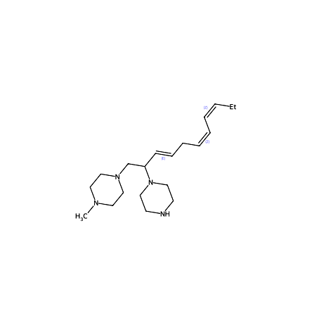 CC/C=C\C=C/C/C=C/C(CN1CCN(C)CC1)N1CCNCC1